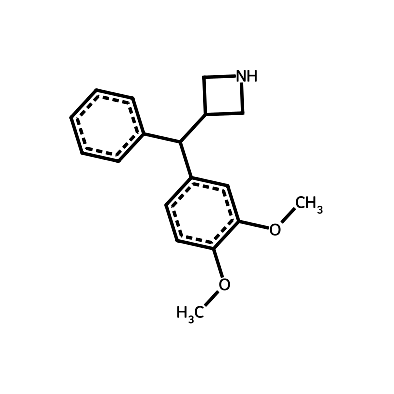 COc1ccc(C(c2ccccc2)C2CNC2)cc1OC